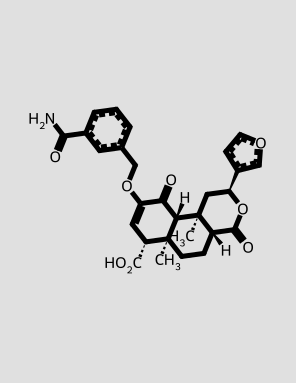 C[C@@]12CC[C@H]3C(=O)O[C@H](c4ccoc4)C[C@]3(C)[C@H]1C(=O)C(OCc1cccc(C(N)=O)c1)=C[C@H]2C(=O)O